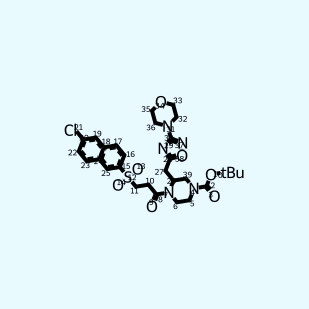 CC(C)(C)OC(=O)N1CCN(C(=O)CCS(=O)(=O)c2ccc3cc(Cl)ccc3c2)C(Cc2nc(N3CCOCC3)no2)C1